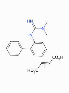 CN(C)C(=N)Nc1ccccc1-c1ccccc1.O=C(O)/C=C/C(=O)O